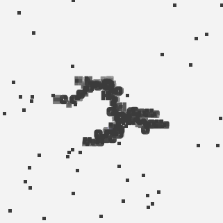 COC(=O)CC/C(=N/C(=O)c1cc(C(=O)NCCNC(=O)c2cccc(OCC(N)OCCOCC(=O)O)c2)cc(C(=O)NC(CCC(=O)OC)C(=O)OC)c1)C(=O)OC